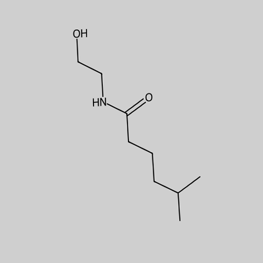 CC(C)CCCC(=O)NCCO